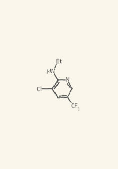 [CH2]CNc1ncc(C(F)(F)F)cc1Cl